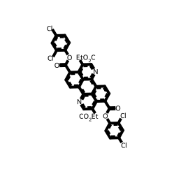 CCOC(=O)c1cnc2c3ccc(C(=O)Oc4ccc(Cl)cc4Cl)c4c(C(=O)OCC)cnc(c5ccc(C(=O)Oc6ccc(Cl)cc6Cl)c1c52)c43